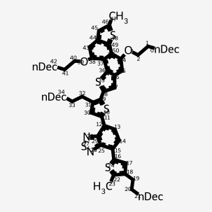 CCCCCCCCCCCCOc1cc2cc(-c3sc(-c4ccc(-c5cc(CCCCCCCCCCCC)c(C)s5)c5nsnc45)cc3CCCCCCCCCCCC)sc2c2c(OCCCCCCCCCCCC)cc3cc(C)sc3c12